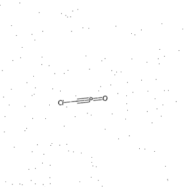 O=P#CCl